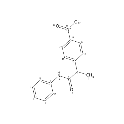 CC(C(=O)Nc1ccccc1)c1ccc([N+](=O)[O-])cc1